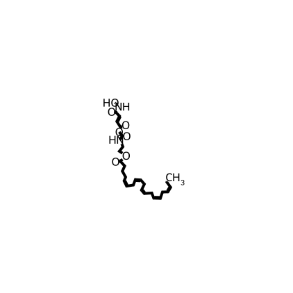 CC/C=C\C/C=C\C/C=C\C/C=C\C/C=C\CCCC(=O)OCCNC(=O)OC(=O)/C=C/C(=O)NO